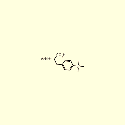 CC(=O)N[C@@H](Cc1cc[c]([Sn]([CH3])([CH3])[CH3])cc1)C(=O)O